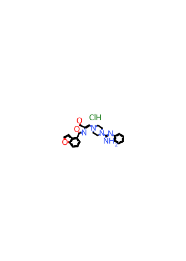 Cl.NC(=Nc1ccccc1)N1CCN(C=C2N=C(c3cccc4occc34)OC2=O)CC1